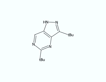 CC(C)(C)c1ncc2[nH]nc(C(C)(C)C)c2n1